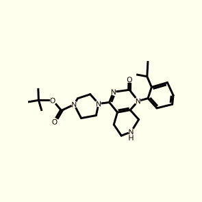 CC(C)c1ccccc1-n1c2c(c(N3CCN(C(=O)OC(C)(C)C)CC3)nc1=O)CCNC2